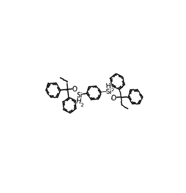 CCC(O[SiH2]c1ccc([SiH2]OC(CC)(c2ccccc2)c2ccccc2)cc1)(c1ccccc1)c1ccccc1